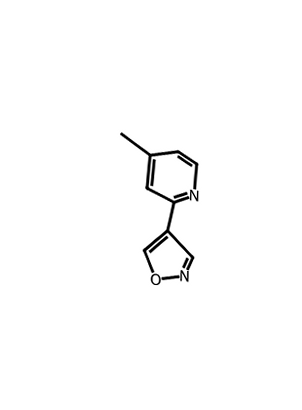 Cc1ccnc(-c2cnoc2)c1